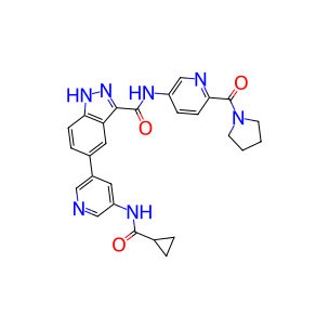 O=C(Nc1ccc(C(=O)N2CCCC2)nc1)c1n[nH]c2ccc(-c3cncc(NC(=O)C4CC4)c3)cc12